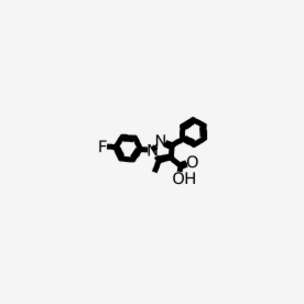 Cc1c(C(=O)O)c(-c2ccccc2)nn1-c1ccc(F)cc1